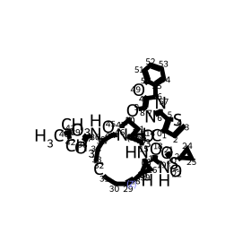 Cc1ccsc1-c1nc(O[C@@H]2C[C@H]3C(=O)N[C@]4(C(=O)NS(=O)(=O)C5CC5)C[C@H]4/C=C\CCCCC[C@H](NC(=O)OC(C)(C)C)C(=O)N3C2)c2oc3ccccc3c2n1